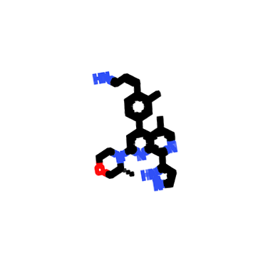 Cc1cc(-c2cc(N3CCOC[C@H]3C)nc3c(-c4ccn[nH]4)ncc(C)c23)ccc1/C=C\C=N